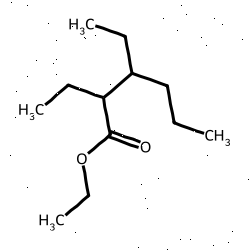 CCCC(CC)C(CC)C(=O)OCC